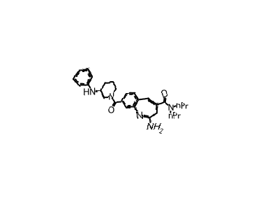 CCCN(CCC)C(=O)C1=Cc2ccc(C(=O)N3CCC[C@H](Nc4ccccc4)C3)cc2N=C(N)C1